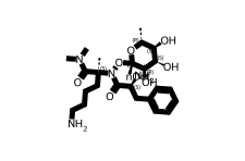 CCCCCCCC[C@@]1(ON(C(=O)[C@@H](N)Cc2ccccc2)[C@@](C)(CCCCN)C(=O)N(C)C)O[C@H](C)[C@@H](O)[C@H](O)[C@H]1O